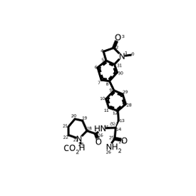 CN1C(=O)Cc2ccc(-c3ccc(C[C@H](NC(=O)C4CCCCN4C(=O)O)C(N)=O)cc3)cc21